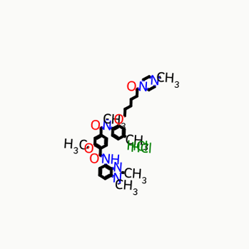 COc1cc(C(=O)N(C)c2ccc(C)cc2OCCCCCC(=O)N2CCN(C)CC2)ccc1C(=O)Nc1cccc2c1nc(C)n2C.Cl.Cl